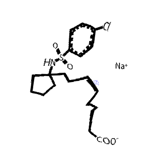 O=C([O-])CCC/C=C\CCC1(NS(=O)(=O)c2ccc(Cl)cc2)CCCC1.[Na+]